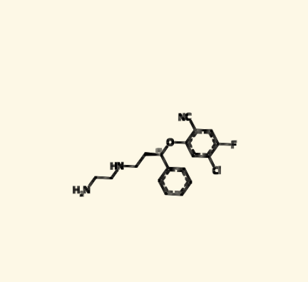 N#Cc1cc(F)c(Cl)cc1O[C@H](CCNCCN)c1ccccc1